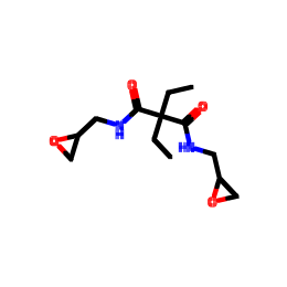 CCC(CC)(C(=O)NCC1CO1)C(=O)NCC1CO1